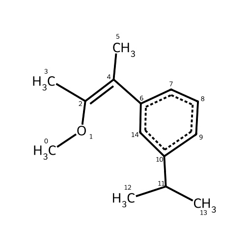 COC(C)=C(C)c1cccc(C(C)C)c1